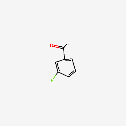 [CH2]C(=O)c1cccc(F)c1